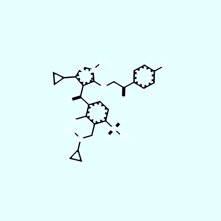 CN(Cc1c(S(C)(=O)=O)ccc(C(=O)c2c(C3CC3)nn(C)c2OCC(=O)c2ccc(Cl)cc2)c1Cl)C1CC1